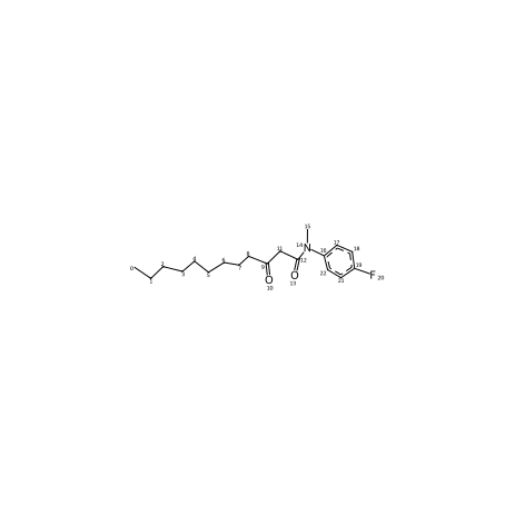 CCCCCCCCCC(=O)CC(=O)N(C)c1ccc(F)cc1